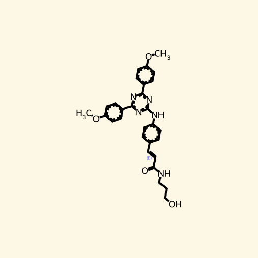 COc1ccc(-c2nc(Nc3ccc(/C=C/C(=O)NCCCO)cc3)nc(-c3ccc(OC)cc3)n2)cc1